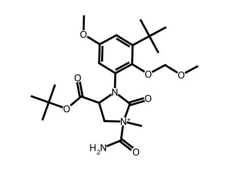 COCOc1c(N2C(=O)[N+](C)(C(N)=O)CC2C(=O)OC(C)(C)C)cc(OC)cc1C(C)(C)C